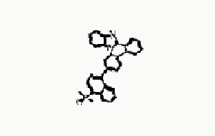 CP(C)(=O)c1ccc(-c2ccc3c4ccccc4c4nc5ccccc5n4c3c2)c2ccccc12